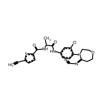 C#Cc1ccc(C(=O)NC(C)C(=O)Nc2ccc(N3CCOCC/C3=N/C#N)c(Cl)c2)s1